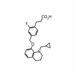 O=C(O)CCc1ccc(COc2cccc3c2N(CC2CC2)CCC3)cc1F